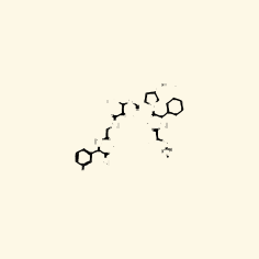 CCCC(NC(=O)[C@@H]1C[C@@H](OC(C)(C)C)CN1C(=O)[C@@H](NC(=O)[C@@H](NS(C)(=O)=O)C(C)C)C1CCCCC1)C(=O)C(=O)NCC(=O)NC(C(N)=O)c1cccc(F)c1